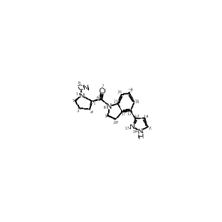 N#CN1CCCC1C(=O)N1CCc2c(-c3cc[nH]n3)cccc21